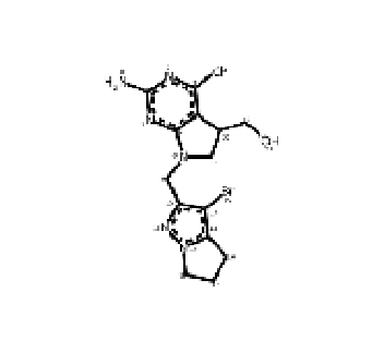 Nc1nc(Cl)c2c(n1)N(Cc1nn3c(c1Br)CCC3)CC2CO